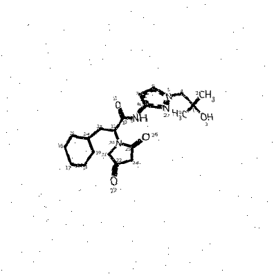 CC(C)(O)Cn1ccc(NC(=O)C(CC2CCCCC2)N2CC(=O)CC2=O)n1